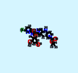 COc1ccc(CN(c2cccc(F)n2)S(=O)(=O)c2cc(C)c(N(C)C3CCN(C(=O)OC(C)(C)C)CC3)cn2)c(OC)c1